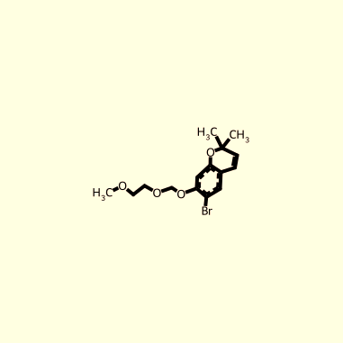 COCCOCOc1cc2c(cc1Br)C=CC(C)(C)O2